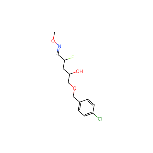 CON=CC(F)CC(O)COCc1ccc(Cl)cc1